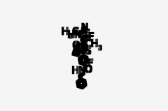 CN/C(C#N)=C(\C=C(/C)N1C(=O)C2(CCC2)N(c2ccc(C(=O)NCCc3ccccc3)c(F)c2)C1=S)C(F)(F)F